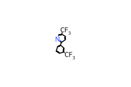 FC(F)(F)c1ccc(-c2cccc(C(F)(F)F)c2)nc1